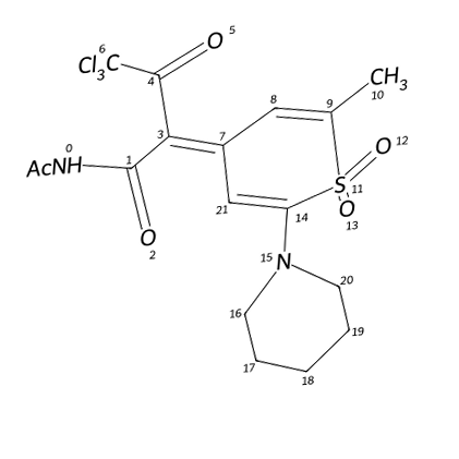 CC(=O)NC(=O)/C(C(=O)C(Cl)(Cl)Cl)=C1/C=C(C)S(=O)(=O)C(N2CCCCC2)=C1